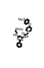 COc1ccc(OC2CCN(CC(=O)Nc3cc(NCCNC(C)=O)nc(-c4ccccc4)n3)CC2)cc1